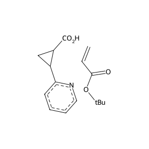 C=CC(=O)OC(C)(C)C.O=C(O)C1CC1c1ccccn1